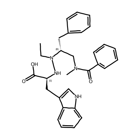 CCN(N[C@@H](Cc1c[nH]c2ccccc12)C(=O)O)[C@H](Cc1ccccc1)CN(C)C(=O)c1ccccc1